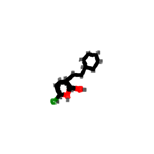 O=c1oc(Cl)ccc1CCC1CCCCC1